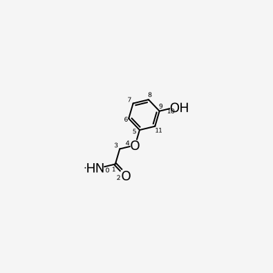 [NH]C(=O)COc1cccc(O)c1